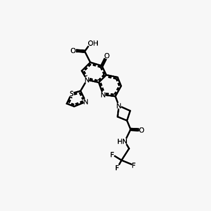 O=C(O)c1cn(-c2nccs2)c2nc(N3CC(C(=O)NCC(F)(F)F)C3)ccc2c1=O